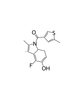 CC1=[C]C2=C(F)C(O)=CCC2N1C(=O)c1csc(C)c1